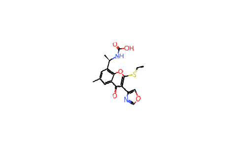 CCSc1oc2c([C@@H](C)NC(=O)O)cc(C)cc2c(=O)c1-c1cocn1